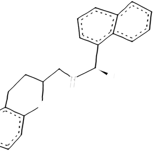 C[C@@H](NCC1CCc2ccccc2O1)c1cccc2ccccc12